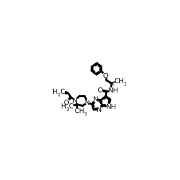 C=CC(=O)N1CCN(c2cnc3[nH]cc(C(=O)N[C@H](C)COc4ccccc4)c3n2)CC1(C)C